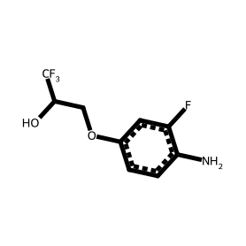 Nc1ccc(OCC(O)C(F)(F)F)cc1F